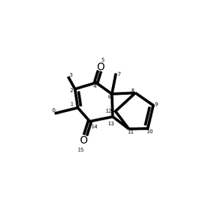 CC1=C(C)C(=O)C2(C)C3C=CC(C3)C2C1=O